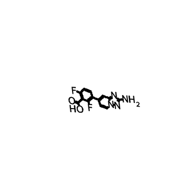 Nc1nc2cc(-c3ccc(F)c(C(=O)O)c3F)ccn2n1